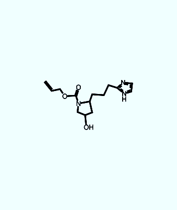 C=CCOC(=O)N1CC(O)CC1CCCc1ncc[nH]1